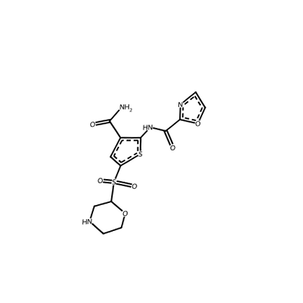 NC(=O)c1cc(S(=O)(=O)C2CNCCO2)sc1NC(=O)c1ncco1